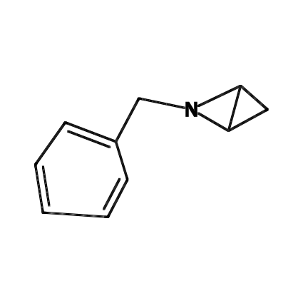 c1ccc(CN2C3CC32)cc1